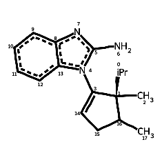 CC(C)[C@]1(C)C(n2c(N)nc3ccccc32)=CCC1C